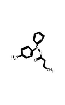 CCCC(=O)ON(c1ccccc1)c1ccc(N)cc1